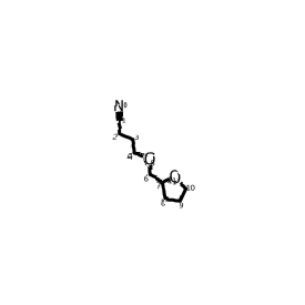 N#CCCCOCC1CCCO1